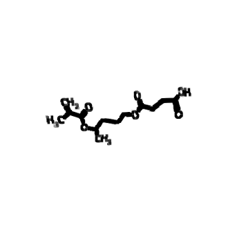 C=C(C)C(=O)OC(C)CCCOC(=O)CCC(=O)O